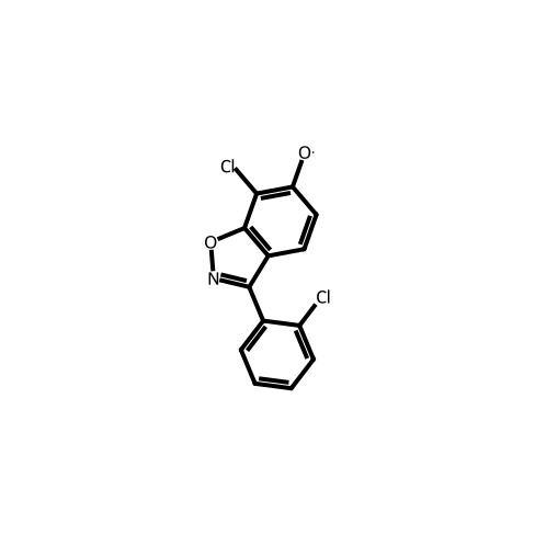 [O]c1ccc2c(-c3ccccc3Cl)noc2c1Cl